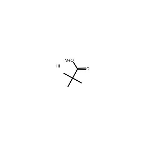 COC(=O)C(C)(C)C.I